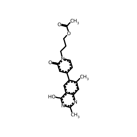 CC(=O)OCCCn1ccc(-c2cc3c(O)nc(C)nc3cc2C)cc1=O